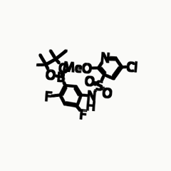 COc1ncc(Cl)cc1S(=O)(=O)Nc1cc(B2OC(C)(C)C(C)(C)O2)c(F)cc1F